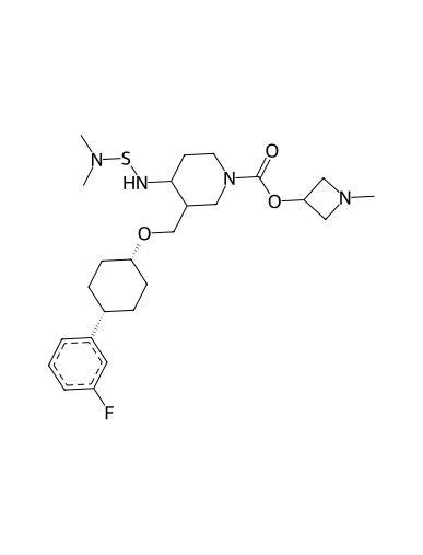 CN1CC(OC(=O)N2CCC(NSN(C)C)C(CO[C@H]3CC[C@@H](c4cccc(F)c4)CC3)C2)C1